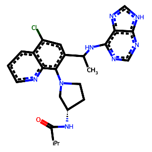 CC(C)C(=O)N[C@H]1CCN(c2c(C(C)Nc3ncnc4[nH]cnc34)cc(Cl)c3cccnc23)C1